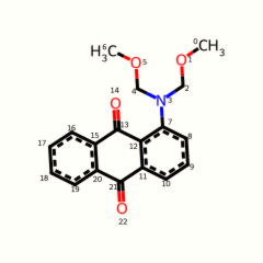 COCN(COC)c1cccc2c1C(=O)c1ccccc1C2=O